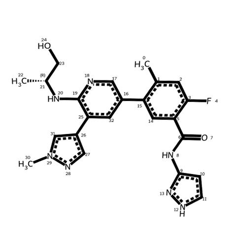 Cc1cc(F)c(C(=O)Nc2cc[nH]n2)cc1-c1cnc(N[C@H](C)CO)c(-c2cnn(C)c2)c1